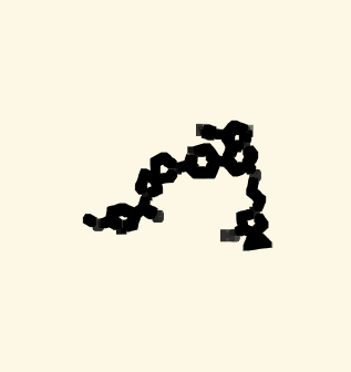 COc1ccc(C(=O)N2CCC3(CCN(c4ccc(-c5cc(OCCN6CC(O)C7(CC7)C6)cn6ncc(C#N)c56)cn4)C3)C2)cn1